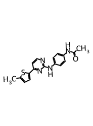 CC(=O)Nc1ccc(Nc2nccc(-c3ccc(C)s3)n2)cc1